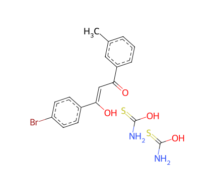 Cc1cccc(C(=O)C=C(O)c2ccc(Br)cc2)c1.NC(O)=S.NC(O)=S